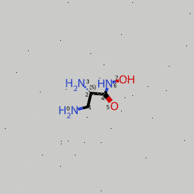 NC[C@H](N)C(=O)NO